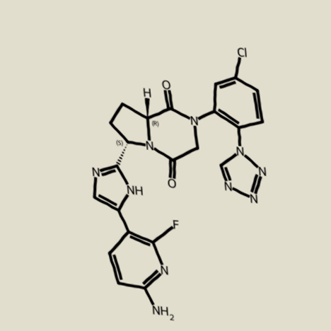 Nc1ccc(-c2cnc([C@@H]3CC[C@@H]4C(=O)N(c5cc(Cl)ccc5-n5cnnn5)CC(=O)N43)[nH]2)c(F)n1